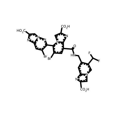 O=C(O)c1cn2cc(C(F)F)c(CNC(=O)c3cc(Br)c(-c4nn5cc(C(=O)O)nc5cc4Br)n4cc(C(=O)O)nc34)cc2n1